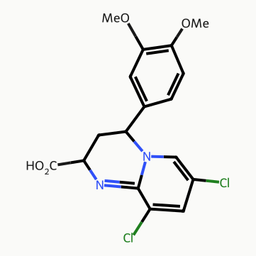 COc1ccc(C2CC(C(=O)O)N=C3C(Cl)=CC(Cl)=CN32)cc1OC